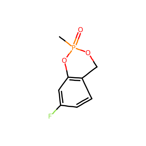 CP1(=O)OCc2ccc(F)cc2O1